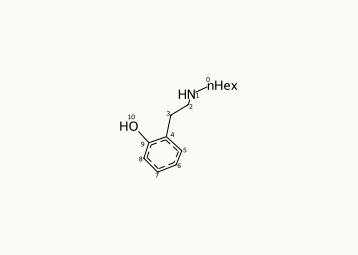 CCCCCCNCCc1ccccc1O